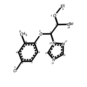 CCOC(C(Oc1ccc(Cl)cc1C)n1cncn1)C(C)(C)C